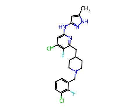 Cc1cc(Nc2cc(Cl)c(F)c(CC3CCN(Cc4cccc(Cl)c4F)CC3)n2)n[nH]1